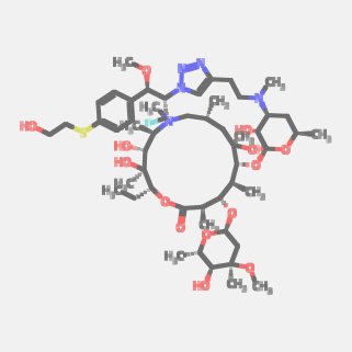 CC[C@H]1OC(=O)[C@H](C)[C@@H](O[C@H]2C[C@@](C)(OC)[C@@H](O)[C@H](C)O2)[C@H](C)[C@@H](O[C@@H]2O[C@H](C)C[C@H](N(C)CCc3cn([C@H](CF)[C@H](OC)c4ccc(SCCO)cc4)nn3)[C@H]2O)[C@](C)(O)C[C@@H](C)CN(C)[C@H](C)[C@@H](O)[C@]1(C)O